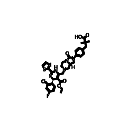 CCOC(=O)C1=C(CN2CCN3C(=O)N(c4ccc(CC(C)(C)C(=O)O)cc4)C[C@@H]3C2)NC(c2nccs2)=N[C@H]1c1ccc(F)cc1Cl